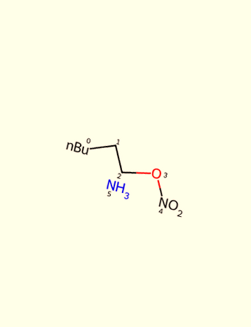 CCCCCCO[N+](=O)[O-].N